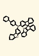 c1ccc(-c2ccc(N(c3ccc4c(c3)C3(c5ccccc5-4)c4ccccc4-c4c3sc3ccccc43)c3ccc4oc5ccccc5c4c3)cc2)cc1